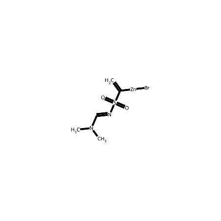 C=[C]([Zn][Br])S(=O)(=O)N=CN(C)C